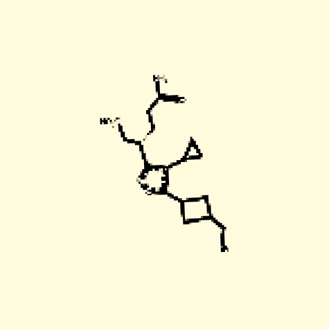 CC(C)CC1CC(c2onc([C@@H](CCC(N)=O)CC(=O)O)c2C2CC2)C1